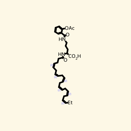 CC/C=C\C/C=C\C/C=C\C/C=C\C/C=C\C/C=C\CCC(=O)NC(CCCNC(=O)c1ccccc1OC(C)=O)C(=O)O